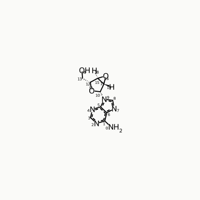 Nc1ncnc2c1ncn2[C@@H]1O[C@H](CO)[C@H]2O[C@@H]21